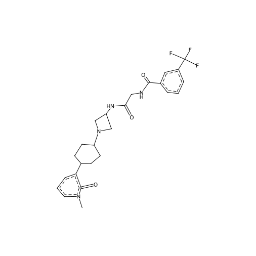 Cn1cccc(C2CCC(N3CC(NC(=O)CNC(=O)c4cccc(C(F)(F)F)c4)C3)CC2)c1=O